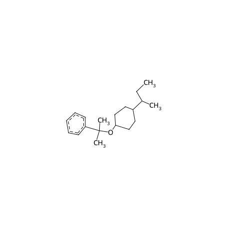 CCC(C)C1CCC(OC(C)(C)c2ccccc2)CC1